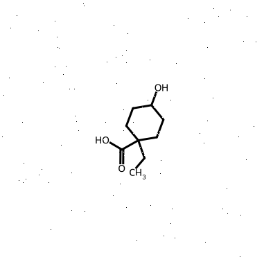 CCC1(C(=O)O)CCC(O)CC1